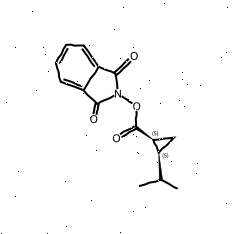 CC(C)[C@@H]1C[C@@H]1C(=O)ON1C(=O)c2ccccc2C1=O